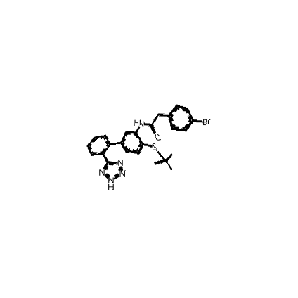 CC(C)(C)Sc1ccc(-c2ccccc2-c2nn[nH]n2)cc1NC(=O)Cc1ccc(Br)cc1